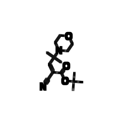 CC(C)(C)OC(=O)C(C#N)=CC(C)(C)N1CCOCC1